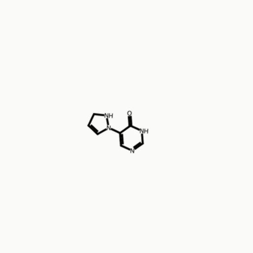 O=c1[nH]cncc1N1C=CCN1